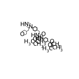 CC(C)(C)OC(=O)NC(Cc1ccc(N2CCNCC2CC2CCOCC2)cc1)C(=O)Nc1ccc(C(=O)OC(C)(C)C)cc1